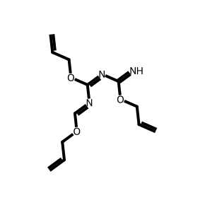 C=CCO/C=N/C(=N\C(=N)OCC=C)OCC=C